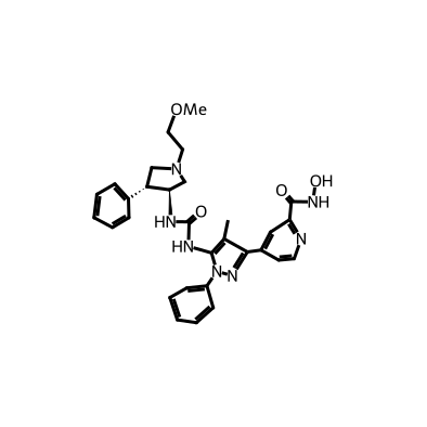 COCCN1C[C@@H](NC(=O)Nc2c(C)c(-c3ccnc(C(=O)NO)c3)nn2-c2ccccc2)[C@H](c2ccccc2)C1